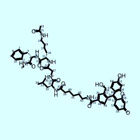 CNC(=O)[C@H](Cc1ccccc1)NC(=O)[C@H](CCCCNC(C)=O)NC(=O)CNC(=O)[C@H](CC(C)C)NC(=O)CCCCCNC(=O)c1ccc(-c2c3ccc(=O)cc-3oc3cc(O)ccc23)c(CO)c1